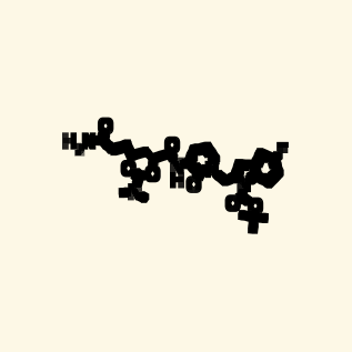 CN(C)C(=O)O[C@@H](CC/C=C/C(N)=O)C(=O)Nc1cccn(Cc2cc3cc(F)ccc3n2C(=O)OC(C)(C)C)c1=O